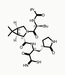 CC(C)C(=O)N[C@H](C(=O)N1C[C@H]2[C@@H]([C@H]1C(=O)N[C@@H](C[C@@H]1CCNC1=O)C(=O)C(=N)S)C2(C)C)C(C)(C)C